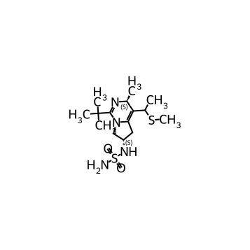 CSC(C)C1=C2C[C@H](NS(N)(=O)=O)CN2C(C(C)(C)C)=N[C@H]1C